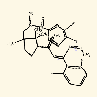 C=C(/C=C(\N=N/C)c1c(F)cccc1F)C1CCC(C)(CN(CC)S(=O)(=O)c2ccc(F)c(F)c2)C1(C)C